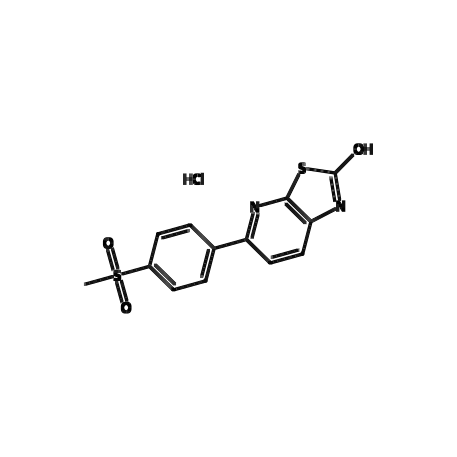 CS(=O)(=O)c1ccc(-c2ccc3nc(O)sc3n2)cc1.Cl